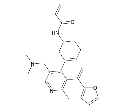 C=CC(=O)NC1CCC=C(c2c(CN(C)C)cnc(C)c2C(=C)c2ccco2)C1